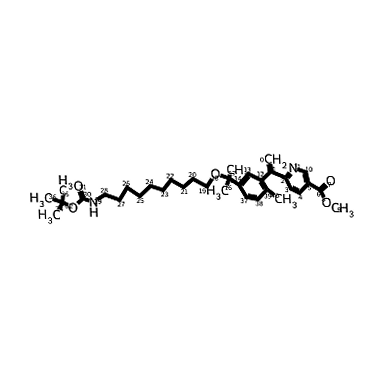 C=C(c1ccc(C(=O)OC)cn1)c1cc(C(C)(C)OCCCCCCCCCCNC(=O)OC(C)(C)C)ccc1C